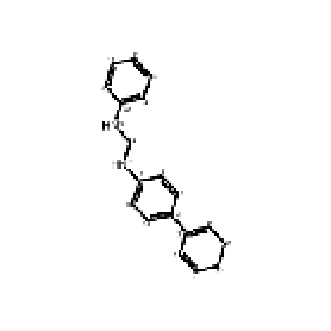 C1=CC(c2ccc(NCNc3ccccc3)cc2)=CCC1